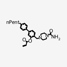 C=CC(=O)Oc1cc(-c2ccc(CCCCC)cc2)ccc1CN1CCN(C(N)=O)CC1